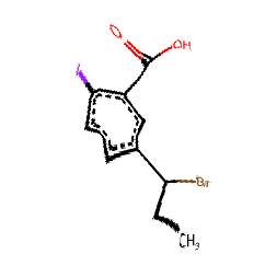 CCC(Br)c1ccc(I)c(C(=O)O)c1